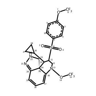 O=S(=O)(c1ccc(OC(F)(F)F)cc1)C1CN(OC(F)(F)F)C2=CC=CC3=NNC[C@]23C1C1CC1